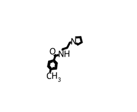 Cc1ccc(C(=O)NCCCN2CCCC2)cc1